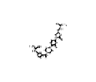 CC(=O)NC[C@H]1CN(c2ccc(N3CCN(C(=O)c4csc(NC(=N)N)n4)CC3)c(F)c2)C(=O)O1